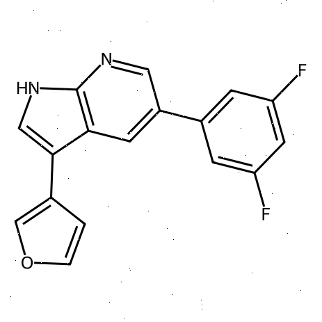 Fc1cc(F)cc(-c2cnc3[nH]cc(-c4ccoc4)c3c2)c1